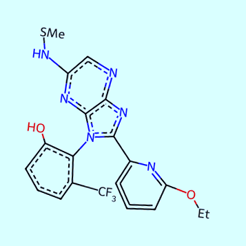 CCOC1=NC(c2nc3ncc(NSC)nc3n2-c2c(O)cccc2C(F)(F)F)=C=C=C1